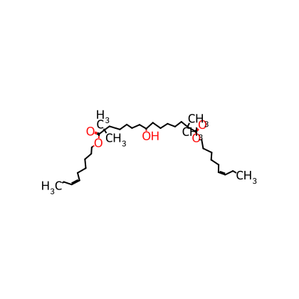 CC/C=C\CCCCCOC(=O)C(C)(C)CCCCCC(O)CCCCCC(C)(C)C(=O)OCCCCC/C=C\CC